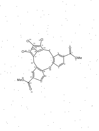 COC(=O)c1ccc2c(c1)Cc1c(Cl)c(Cl)c(Cl)c(c1Cl)Cc1cc(C(=O)OC)ccc1O2